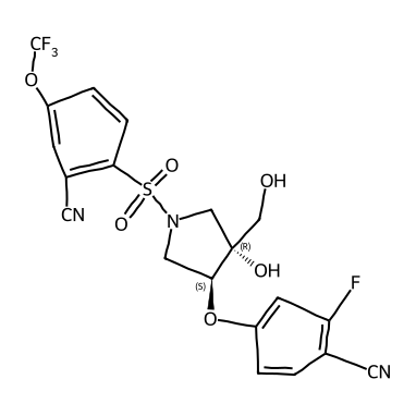 N#Cc1ccc(O[C@H]2CN(S(=O)(=O)c3ccc(OC(F)(F)F)cc3C#N)C[C@@]2(O)CO)cc1F